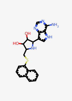 Nc1ncnc2c(C3NC(CSc4cccc5ccccc45)C(O)C3O)c[nH]c12